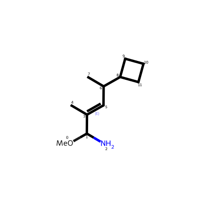 COC(N)/C(C)=C/C(C)C1CCC1